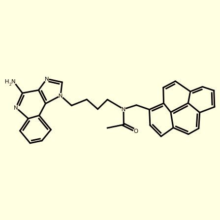 CC(=O)N(CCCCn1cnc2c(N)nc3ccccc3c21)Cc1ccc2ccc3cccc4ccc1c2c34